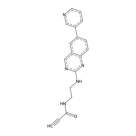 C#CC(=O)NCCNc1ncc2cc(-c3cccnc3)ccc2n1